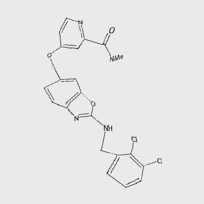 CNC(=O)c1cc(Oc2ccc3nc(NCc4cccc(Cl)c4Cl)oc3c2)ccn1